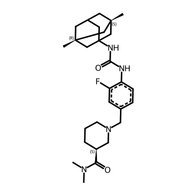 CN(C)C(=O)[C@H]1CCCN(Cc2ccc(NC(=O)NC34CC5C[C@@](C)(C3)C[C@](C)(C5)C4)c(F)c2)C1